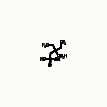 O=C(O)C(CC(F)(F)F)(CC(F)(F)F)CP(=O)(O)O